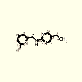 CCc1cnc(NCc2cccc(F)n2)nc1